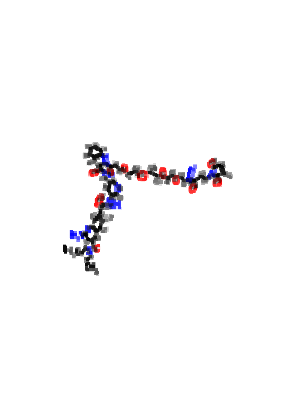 CCCN(CCC)C(=O)C1=Cc2ccc(C(=O)Nc3cncc(CNC(=O)[C@H](Cc4ccccc4)NC(=O)CCOCCOCCOCCOCCNC(=O)CCN4C(=O)C=CC4=O)c3)cc2N=C(N)C1